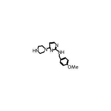 COc1ccc(CNc2nccc(N3CCNCC3)n2)cc1